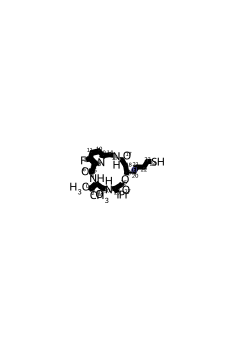 CC(C)=C1NC(=O)c2nc(ccc2F)CNC(=O)C[C@@H](/C=C/CCS)OC(=O)C(C(C)C)NC1=O